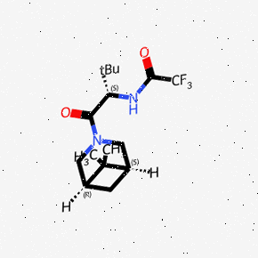 CC(C)(C)[C@H](NC(=O)C(F)(F)F)C(=O)N1C[C@H]2C[C@@H](C1)C2(C)C